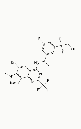 CC(Nc1nc(C(F)(F)F)nc2c1cc(Br)c1c2cnn1C)c1cc(F)cc(C(F)(F)CO)c1